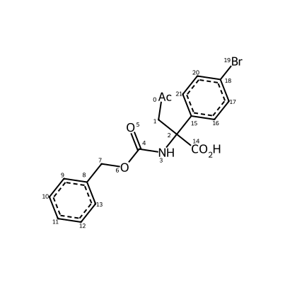 CC(=O)CC(NC(=O)OCc1ccccc1)(C(=O)O)c1ccc(Br)cc1